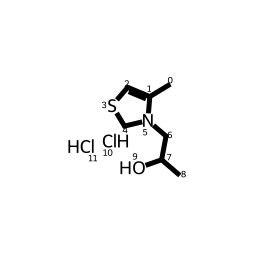 CC1=CSCN1CC(C)O.Cl.Cl